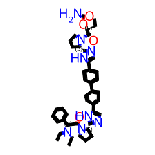 CC[C@H](OC(N)=O)C(=O)N1CCC[C@H]1c1ncc(-c2ccc(-c3ccc(-c4cnc([C@@H]5CCCN5C(=O)[C@@H](c5ccccc5)N(CC)CC)[nH]4)cc3)cc2)[nH]1